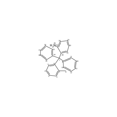 Cc1ccccc1C(c1ccccc1)(c1ccccc1)c1ccccc1N